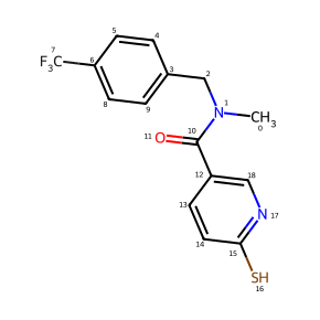 CN(Cc1ccc(C(F)(F)F)cc1)C(=O)c1ccc(S)nc1